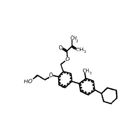 C=C(C)C(=O)OCc1cc(-c2ccc(C3CCCCC3)cc2C)ccc1OCCO